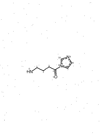 [NH]CCCC(=O)n1ccnc1